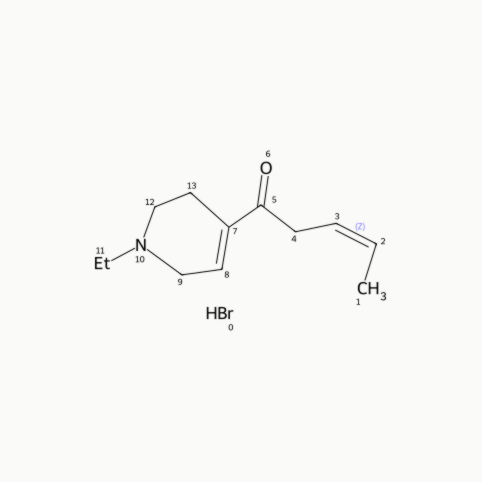 Br.C/C=C\CC(=O)C1=CCN(CC)CC1